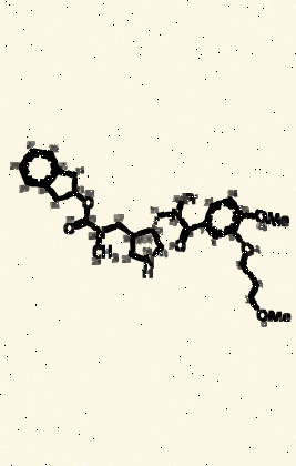 COCCCOc1cc(C(=O)N(C[C@@H]2CNC[C@H]2CN(C)C(=O)OC2Cc3ccccc3C2)C(C)C)ccc1OC